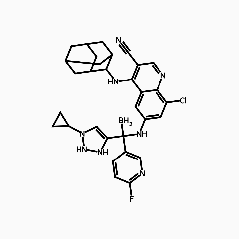 BC(Nc1cc(Cl)c2ncc(C#N)c(NC3C4CC5CC(C4)CC3C5)c2c1)(C1=CN(C2CC2)NN1)c1ccc(F)nc1